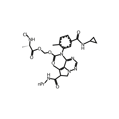 CCCNC(=O)C1CN2N=CN=C(N(C(=O)OCOC(=O)[C@H](C)NCl)c3cc(C(=O)NC4CC4)ccc3C)C2=C1C